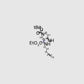 CC#CCCCN/C(C(=O)OCC)=C1/CN(C(=O)OC(C)(C)C)CCC1=N